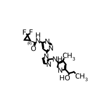 CCC(O)c1cc(C)c(Nc2nccn2-c2cc(NC(=O)[C@H]3CC3(F)F)ncn2)cn1